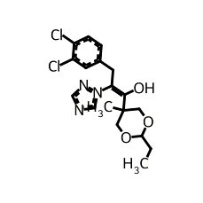 CCC1OCC(C)(/C(O)=C(/Cc2ccc(Cl)c(Cl)c2)n2cncn2)CO1